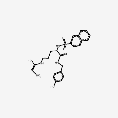 N/C(=N/[N+](=O)[O-])NCCC[C@@H](NS(=O)(=O)c1ccc2ccccc2c1)C(=O)NCc1ccc(O)cc1